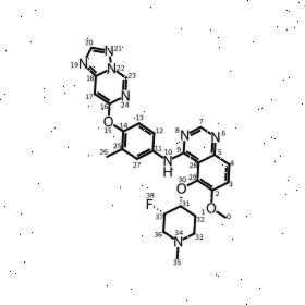 COc1ccc2ncnc(Nc3ccc(Oc4cc5ncnn5cn4)c(C)c3)c2c1O[C@@H]1CCN(C)C[C@@H]1F